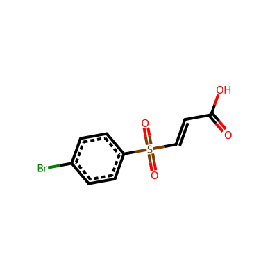 O=C(O)C=CS(=O)(=O)c1ccc(Br)cc1